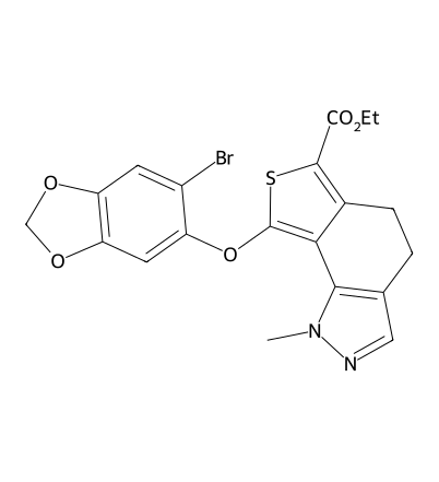 CCOC(=O)c1sc(Oc2cc3c(cc2Br)OCO3)c2c1CCc1cnn(C)c1-2